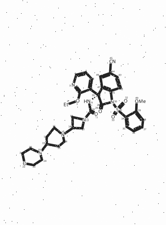 CCOc1ncccc1[C@]1(NC(=O)N2CC(N3CCC(N4CCOCC4)CC3)C2)C(=O)N(S(=O)(=O)c2ccccc2OC)c2ccc(C#N)cc21